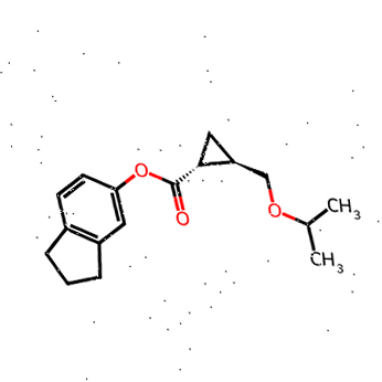 CC(C)OC[C@@H]1C[C@H]1C(=O)Oc1ccc2c(c1)CCC2